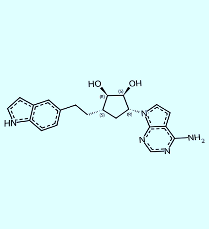 Nc1ncnc2c1ccn2[C@@H]1C[C@H](CCc2ccc3[nH]ccc3c2)[C@@H](O)[C@H]1O